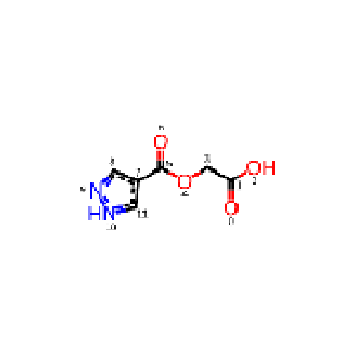 O=C(O)COC(=O)c1cn[nH]c1